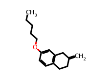 C=C1CCc2ccc(OCCCCC)cc2C1